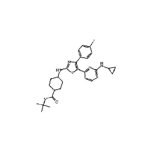 CC(C)(C)OC(=O)N1CCC(Nc2nc(-c3ccc(F)cc3)c(-c3ccnc(NC4CC4)n3)s2)CC1